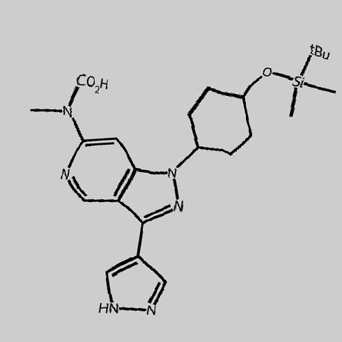 CN(C(=O)O)c1cc2c(cn1)c(-c1cn[nH]c1)nn2C1CCC(O[Si](C)(C)C(C)(C)C)CC1